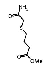 COC(=O)CCCSCC(N)=O